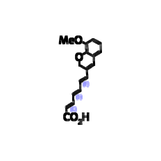 COc1cccc2c1OCC(/C=C/C=C/C=C/C(=O)O)=C2